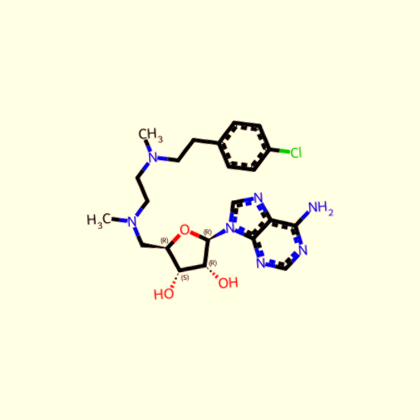 CN(CCc1ccc(Cl)cc1)CCN(C)C[C@H]1O[C@@H](n2cnc3c(N)ncnc32)[C@H](O)[C@@H]1O